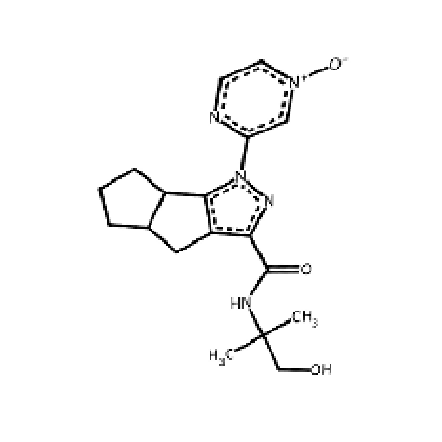 CC(C)(CO)NC(=O)c1nn(-c2c[n+]([O-])ccn2)c2c1CC1CCCC21